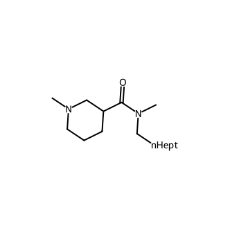 CCCCCCCCN(C)C(=O)C1CCCN(C)C1